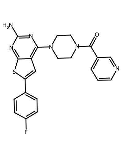 Nc1nc(N2CCN(C(=O)c3cccnc3)CC2)c2cc(-c3ccc(F)cc3)sc2n1